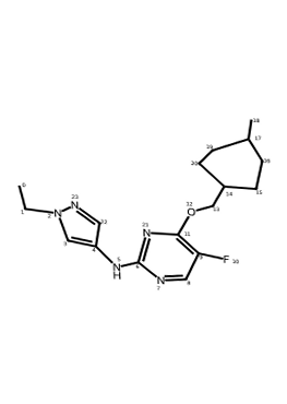 CCn1cc(Nc2ncc(F)c(OCC3CCC(C)CC3)n2)cn1